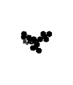 CC1(C)c2cc(-c3cccc4ccccc34)ccc2-c2ccc(N(c3ccc(-c4c5ccccc5c(-c5ccccc5)c5ccccc45)cc3)c3ccc4c(c3)c3ccccc3n4-c3ccccc3)cc21